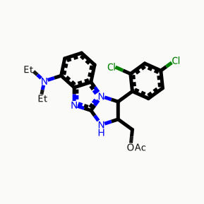 CCN(CC)c1cccc2c1nc1n2C(c2ccc(Cl)cc2Cl)C(COC(C)=O)N1